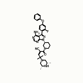 C[C@@H]1CN(C(C)(C)/C=C(/C#N)C(=O)N2CCC[C@@H](n3nc(-c4ccc(Oc5ccccc5)cc4F)c4c(N)ncnc43)C2)C[C@H](C)N1